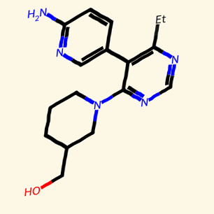 CCc1ncnc(N2CCCC(CO)C2)c1-c1ccc(N)nc1